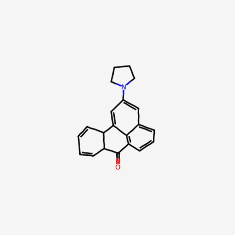 O=C1c2cccc3cc(N4CCCC4)cc(c23)C2C=CC=CC12